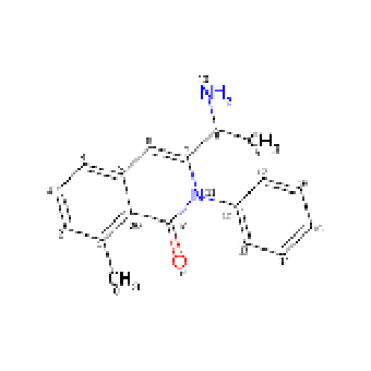 Cc1cccc2cc(C(C)N)n(-c3ccccc3)c(=O)c12